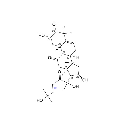 CC(C)(O)/C=C/C(=O)C(C)(O)[C@H]1[C@H](O)C[C@@]2(C)[C@@H]3CC=C4[C@@H](C[C@H](O)[C@H](O)C4(C)C)[C@]3(C)C(=O)C[C@]12C